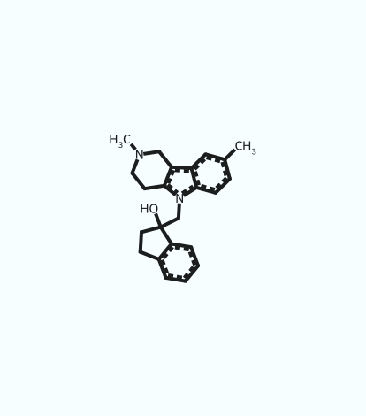 Cc1ccc2c(c1)c1c(n2CC2(O)CCc3ccccc32)CCN(C)C1